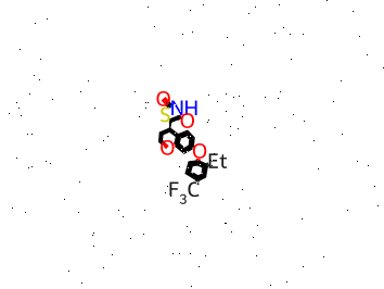 CCc1cc(C(F)(F)F)ccc1Oc1ccc2c(c1)OCC[C@H]2C1SC(=O)NC1=O